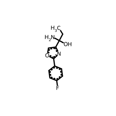 CCC(N)(O)c1coc(-c2ccc(F)cc2)n1